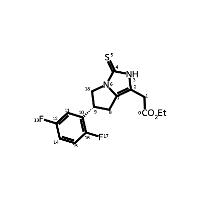 CCOC(=O)Cc1[nH]c(=S)n2c1C[C@H](c1cc(F)ccc1F)C2